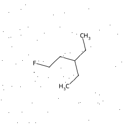 CCC(CC)CCF